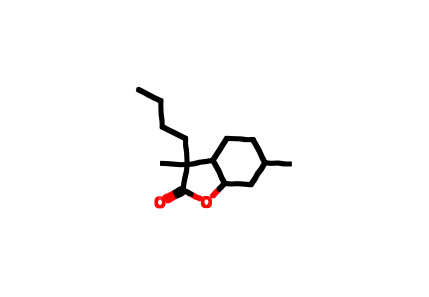 CCCCC1(C)C(=O)OC2CC(C)CCC21